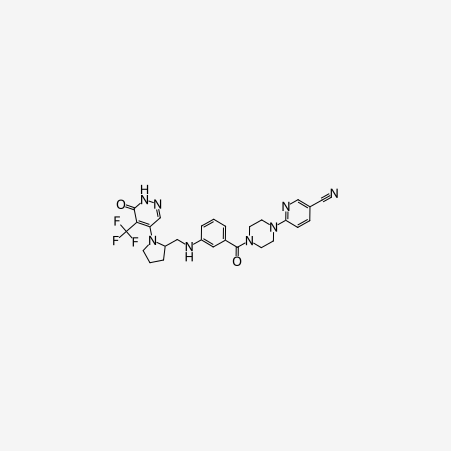 N#Cc1ccc(N2CCN(C(=O)c3cccc(NCC4CCCN4c4cn[nH]c(=O)c4C(F)(F)F)c3)CC2)nc1